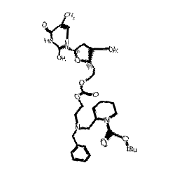 CC(=O)OC1C[C@H](N2C=C(C)C(=O)NC2O)O[C@@H]1COC(=O)OCCN(Cc1ccccc1)CC1CCCCN1C(=O)OC(C)(C)C